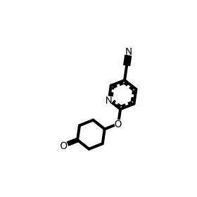 N#Cc1ccc(OC2CCC(=O)CC2)nc1